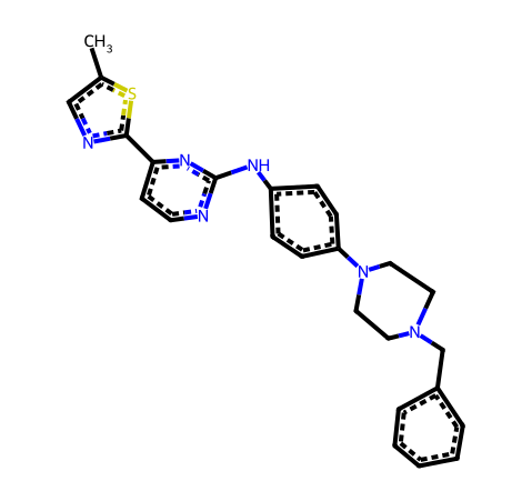 Cc1cnc(-c2ccnc(Nc3ccc(N4CCN(Cc5ccccc5)CC4)cc3)n2)s1